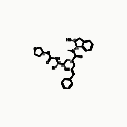 CC(C)[C@H](NC(=O)O[C@H]1CCOC1)[C@@H](O)C[C@@H](CC=Cc1ccccc1)C(=O)N(C)[C@H]1c2ccccc2C[C@H]1O